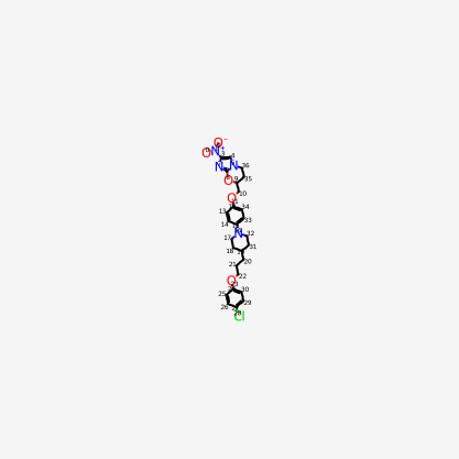 O=[N+]([O-])c1cn2c(n1)OC(COc1ccc(N3CCC(CCCOc4ccc(Cl)cc4)CC3)cc1)CC2